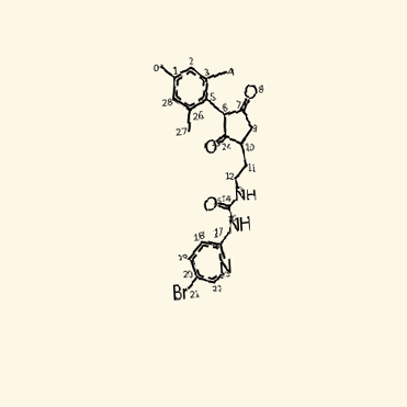 Cc1cc(C)c(C2C(=O)CC(CCNC(=O)Nc3ccc(Br)cn3)C2=O)c(C)c1